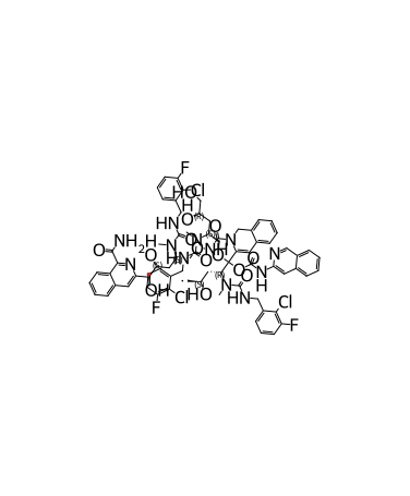 [CH2][C@H](O)C[C@@H](N(C)C(=O)NCc1cccc(F)c1Cl)C(OC[C@H](C[C@@H](O)CO)N(C)C(=O)NCc1cccc(F)c1Cl)(OC(=O)Nc1cc2ccccc2cn1)C1=Cc2ccccc2CN1C(=O)NOC[C@H](C[C@H](O)C(O)c1cc2ccccc2c(C(N)=O)n1)N(C)C(=O)NCc1cccc(F)c1Cl